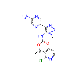 C[C@@H](OC(=O)Nc1c(-c2cnc(N)cn2)nnn1C)c1cccnc1Cl